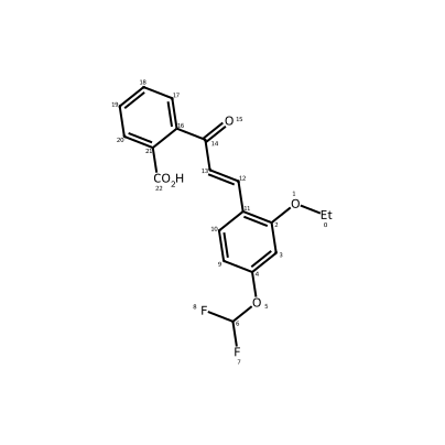 CCOc1cc(OC(F)F)ccc1C=CC(=O)c1ccccc1C(=O)O